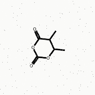 CC1OC(=O)OC(=O)C1C